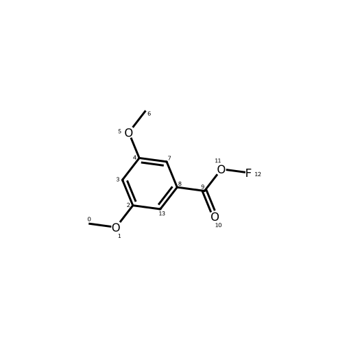 COc1cc(OC)cc(C(=O)OF)c1